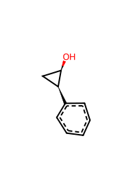 O[C@@H]1C[C@@H]1c1ccccc1